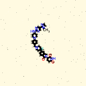 Cn1ccnc1-c1cnc(NC2CCN(c3ccc(CN4CCC(F)(c5ccc6c(c5)CN(C5CCC(=O)NC5=O)C6=O)CC4)cc3)CC2)nc1